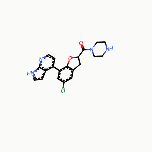 O=C(C1Cc2cc(Cl)cc(-c3ccnc4[nH]ccc34)c2O1)N1CCNCC1